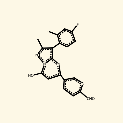 Cc1nn2c(O)cc(-c3ccc(C=O)nc3)nc2c1-c1ccc(F)cc1F